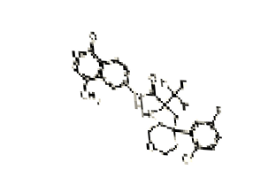 Cc1noc(=O)c2ccc(NC(=O)C(O)(CC3(c4cc(F)ccc4Cl)CCOCC3)C(F)(F)F)cc12